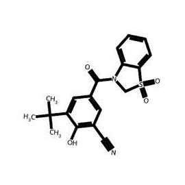 CC(C)(C)c1cc(C(=O)N2CS(=O)(=O)c3ccccc32)cc(C#N)c1O